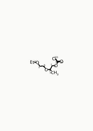 CCOCCOC(C)COC(=O)Cl